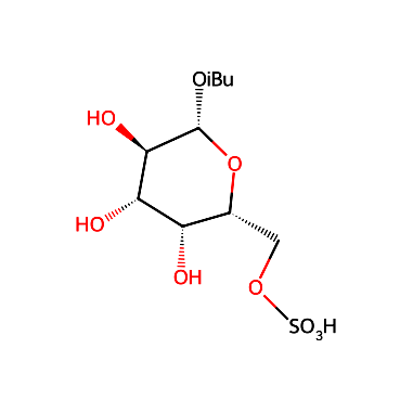 CC(C)CO[C@@H]1O[C@H](COS(=O)(=O)O)[C@H](O)[C@H](O)[C@H]1O